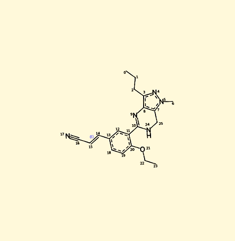 CCCc1nn(C)c2c1N=C(c1cc(/C=C/C#N)ccc1OCC)NC2